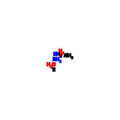 N.N.O.O.[AlH3].[Ti]